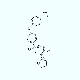 O=S(=O)(C[C@H](NO)[C@H]1CCCO1)c1ccc(Oc2ccc(C(F)(F)F)cc2)cc1